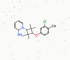 CC1(C)C(Oc2ccc(C#N)c(Cl)c2)C(C)(C)C1N1C=CC=CC1N